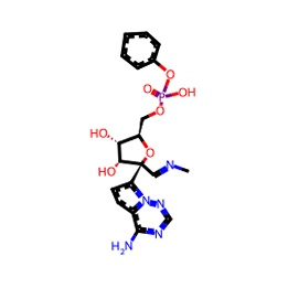 CN=C[C@@]1(c2ccc3c(N)ncnn23)O[C@H](COP(=O)(O)Oc2ccccc2)[C@@H](O)[C@H]1O